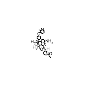 C=CC(=O)N1CCCC(NC(=O)c2sc3c(N)ccc4c3c2C(N)C(=O)C4(N)c2ccc(Oc3cccnc3C)cc2)C1